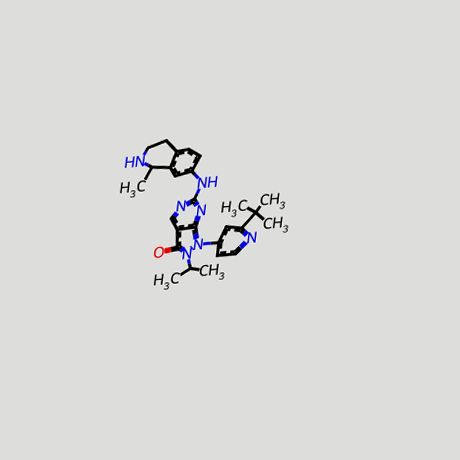 CC1NCCc2ccc(Nc3ncc4c(=O)n(C(C)C)n(-c5ccnc(C(C)(C)C)c5)c4n3)cc21